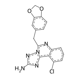 Nc1nc2c3c(Cl)cccc3nc(Cc3ccc4c(c3)OCO4)n2n1